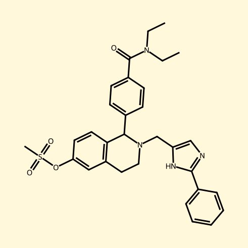 CCN(CC)C(=O)c1ccc(C2c3ccc(OS(C)(=O)=O)cc3CCN2Cc2cnc(-c3ccccc3)[nH]2)cc1